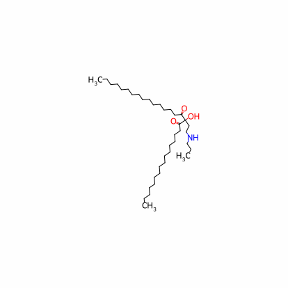 CCCCCCCCCCCCCCCC(=O)C(O)(CCNCCC)C(=O)CCCCCCCCCCCCCCC